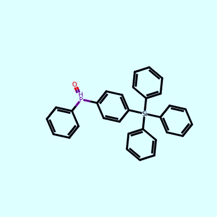 O=[PH](c1ccccc1)c1ccc([Si](c2ccccc2)(c2ccccc2)c2ccccc2)cc1